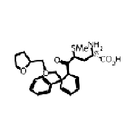 CSC(C[C@H](N)C(=O)O)C(=O)C1C=CC=CC1(COCC1CCCO1)c1ccccc1